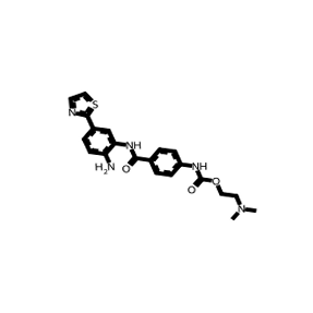 CN(C)CCOC(=O)Nc1ccc(C(=O)Nc2cc(-c3nccs3)ccc2N)cc1